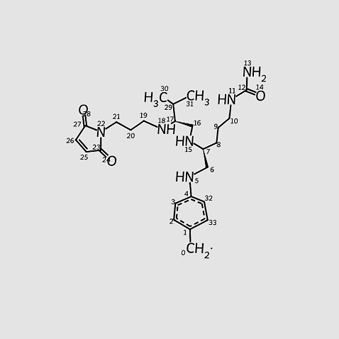 [CH2]c1ccc(NC[C@H](CCCNC(N)=O)NC[C@@H](NCCCN2C(=O)C=CC2=O)C(C)C)cc1